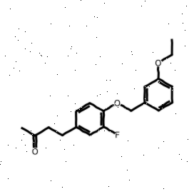 CCOc1cccc(COc2ccc(CCC(C)=O)cc2F)c1